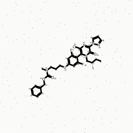 CC[C@H](C)Cn1c(-c2c(F)cc(OCCCN(C)C(=O)OCc3ccccc3)cc2F)c(Cl)nc(-n2cccn2)c1=O